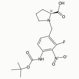 CC(C)(C)OC(=O)Nc1ccc(CN2CCC[C@H]2C(=O)O)c(F)c1[N+](=O)[O-]